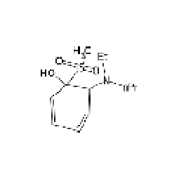 CCCN(CC)C1C=CC=CC1(O)S(C)(=O)=O